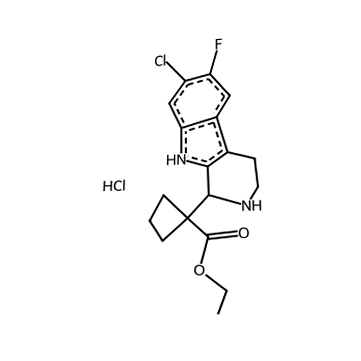 CCOC(=O)C1(C2NCCc3c2[nH]c2cc(Cl)c(F)cc32)CCC1.Cl